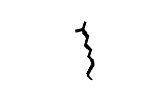 C/C=C/C/C=C/C=C(C)C